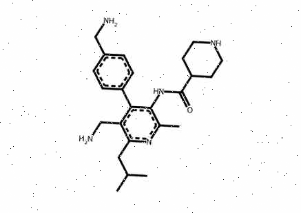 Cc1nc(CC(C)C)c(CN)c(-c2ccc(CN)cc2)c1NC(=O)C1CCNCC1